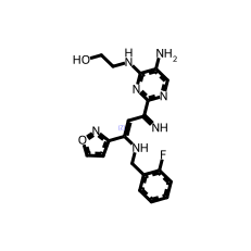 N=C(/C=C(\NCc1ccccc1F)c1ccon1)c1ncc(N)c(NCCO)n1